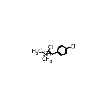 C[SiH](C)C(Cl)Cc1ccc(Cl)cc1